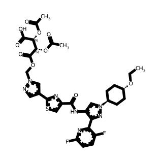 CCO[C@H]1CC[C@H](n2cc(NC(=O)c3csc(-c4cnn(COC(=O)[C@@H](OC(C)=O)[C@@H](OC(C)=O)C(=O)O)c4)n3)c(-c3nc(F)ccc3F)n2)CC1